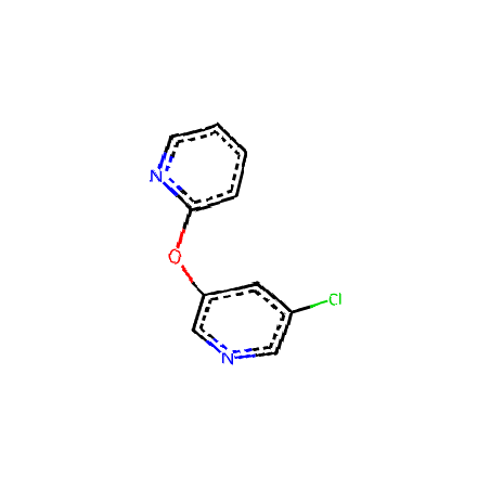 Clc1cncc(Oc2ccccn2)c1